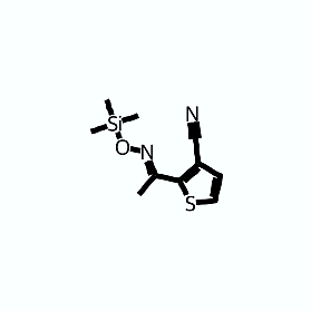 CC(=NO[Si](C)(C)C)c1sccc1C#N